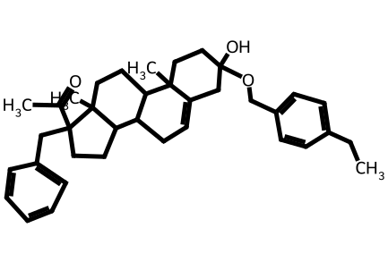 CCc1ccc(COC2(O)CCC3(C)C(=CCC4C3CCC3(C)C4CCC3(Cc3ccccc3)C(C)=O)C2)cc1